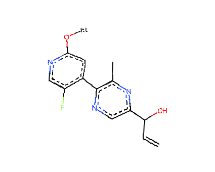 C=CC(O)c1cnc(-c2cc(OCC)ncc2F)c(C)n1